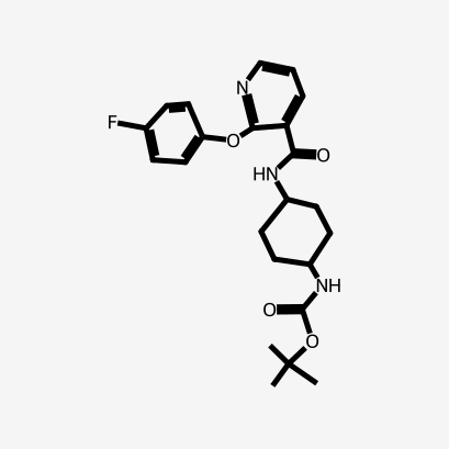 CC(C)(C)OC(=O)NC1CCC(NC(=O)c2cccnc2Oc2ccc(F)cc2)CC1